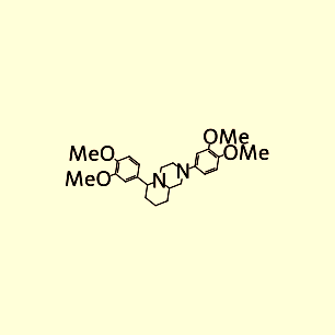 COc1ccc(C2CCCC3CN(c4ccc(OC)c(OC)c4)CCN32)cc1OC